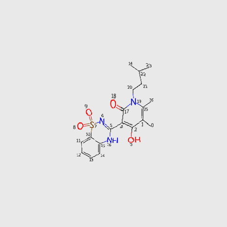 Cc1c(O)c(C2=NS(=O)(=O)c3ccccc3N2)c(=O)n(CCC(C)C)c1C